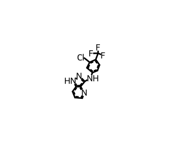 FC(F)(F)c1ccc(Nc2n[nH]c3cccnc23)cc1Cl